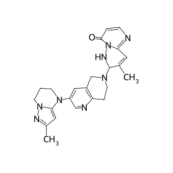 CC1=Cc2nccc(=O)n2NC1N1CCc2ncc(N3CCCn4nc(C)cc43)cc2C1